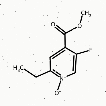 CCc1cc(C(=O)OC)c(F)c[n+]1[O-]